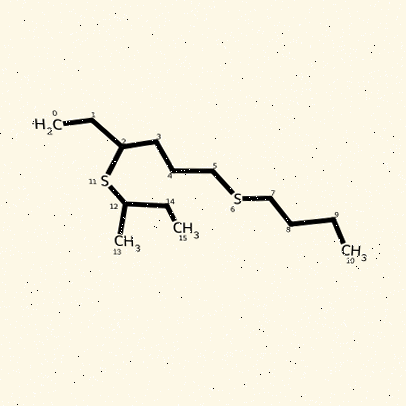 [CH2]CC(CCCSCCCC)SC(C)CC